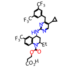 CC[C@@H]1C[C@H](Nc2ncc(C3CC3)c(Cc3cc(C(F)(F)F)cc(C(F)(F)F)c3)n2)c2cc(C(F)(F)F)ccc2N1C(=O)OCCC(=O)O